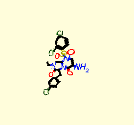 CCN1CC2N(C(=O)C(N)CN2S(=O)(=O)c2ccc(Cl)cc2Cl)C(Cc2ccc(Cl)cc2)C1=O